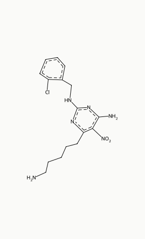 NCCCCCc1nc(NCc2ccccc2Cl)nc(N)c1[N+](=O)[O-]